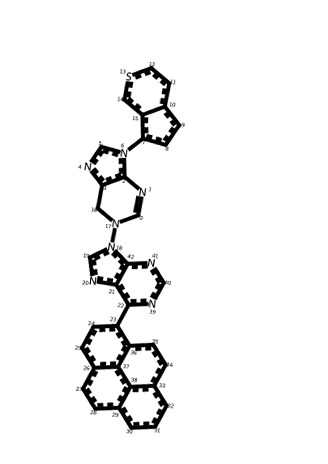 C1=Nc2c(ncn2-c2ccc3ccscc2-3)CN1n1cnc2c(-c3ccc4ccc5cccc6ccc3c4c56)ncnc21